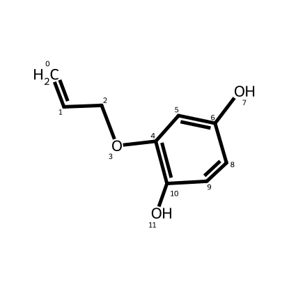 C=CCOc1cc(O)ccc1O